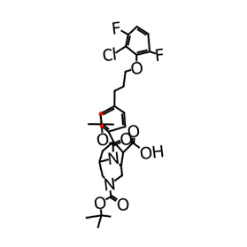 CC(C)(C)OC(=O)N1CC2CC(c3ccc(CCCOc4c(F)ccc(F)c4Cl)cc3)C(C(=O)O)C(C1)N2C(=O)OC(C)(C)C